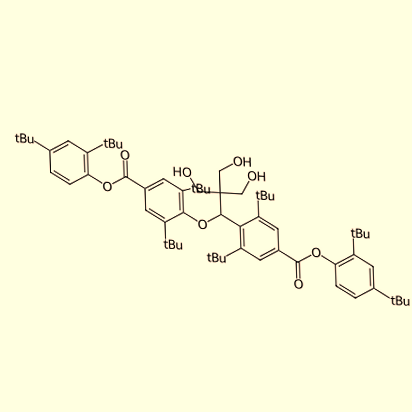 CC(C)(C)c1ccc(OC(=O)c2cc(C(C)(C)C)c(OC(c3c(C(C)(C)C)cc(C(=O)Oc4ccc(C(C)(C)C)cc4C(C)(C)C)cc3C(C)(C)C)C(CO)(CO)CO)c(C(C)(C)C)c2)c(C(C)(C)C)c1